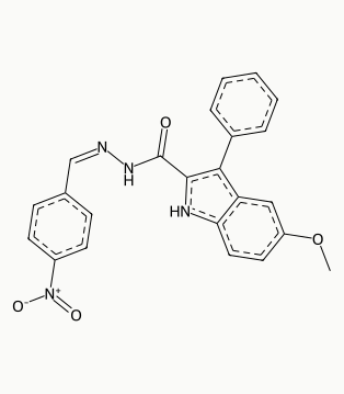 COc1ccc2[nH]c(C(=O)N/N=C\c3ccc([N+](=O)[O-])cc3)c(-c3ccccc3)c2c1